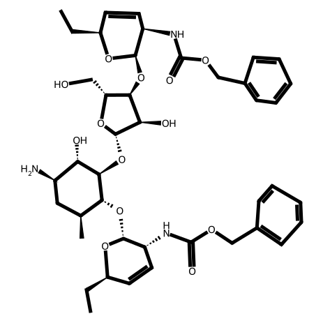 CC[C@H]1C=C[C@@H](NC(=O)OCc2ccccc2)[C@@H](O[C@H]2[C@@H](O)[C@H](O[C@@H]3[C@@H](O)[C@H](N)C[C@H](C)[C@H]3O[C@H]3O[C@H](CC)C=C[C@H]3NC(=O)OCc3ccccc3)O[C@@H]2CO)O1